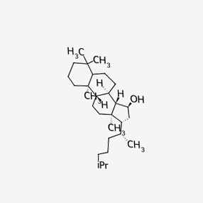 CC(C)CCC[C@@H](C)[C@H]1C[C@H](O)[C@H]2[C@@H]3CCC4C(C)(C)CCC[C@]4(C)[C@H]3CC[C@@]21C